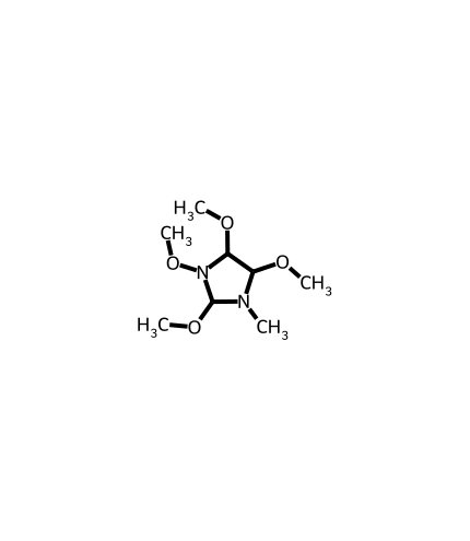 COC1C(OC)N(OC)C(OC)N1C